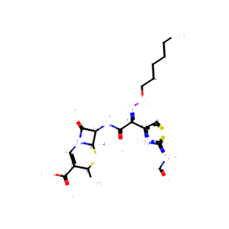 CCCCCCON=C(C(=O)NC1C(=O)N2C=C(C(=O)O)C(C)S[C@H]12)c1csc(=NC=O)[nH]1